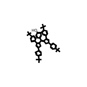 CC(C)(C)c1ccc(C2=CC(c3ccc(C(C)(C)C)cc3)=C(/C(=C3\CC(c4ccc(C(C)(C)C)cc4)C=C3c3ccc(C(C)(C)C)cc3)c3ccc(O)cc3)C2)cc1